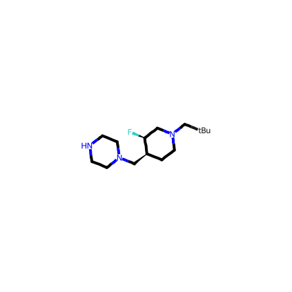 CC(C)(C)CN1CC[C@@H](CN2CCNCC2)[C@@H](F)C1